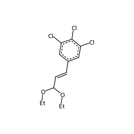 CCOC(C=Cc1cc(Cl)c(Cl)c(Cl)c1)OCC